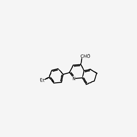 CCc1ccc(-c2cc(C=O)c3c(n2)=CCCC=3)cc1